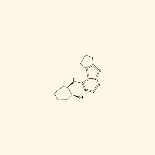 O[C@H]1CCCC[C@H]1Nc1ncnc2sc3c(c12)CCC3